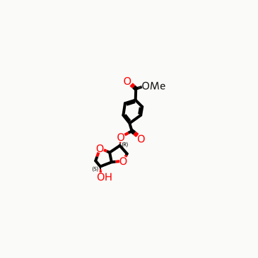 COC(=O)c1ccc(C(=O)O[C@@H]2COC3C2OC[C@@H]3O)cc1